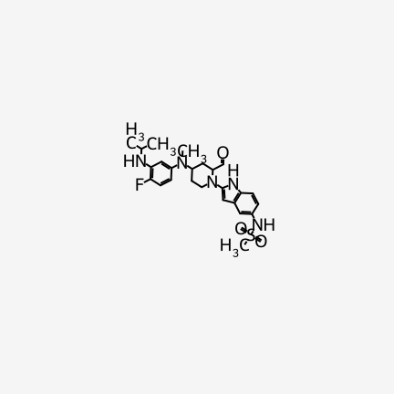 CC(C)Nc1cc(N(C)C2CCN(c3cc4cc(NS(C)(=O)=O)ccc4[nH]3)C(C=O)C2)ccc1F